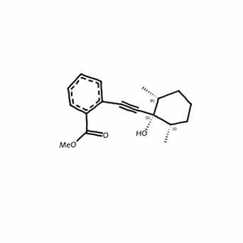 COC(=O)c1ccccc1C#C[C@@]1(O)[C@H](C)CCC[C@@H]1C